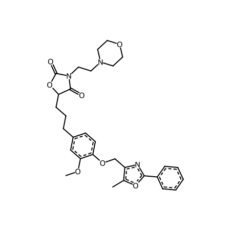 COc1cc(CCCC2OC(=O)N(CCN3CCOCC3)C2=O)ccc1OCc1nc(-c2ccccc2)oc1C